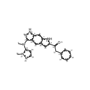 CN(c1n[nH]c2cc3[nH]c(C(=O)Cc4ccccc4)cc3cc12)c1ccnn1C